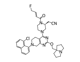 N#CC[C@H]1CN(c2nc(OCC34CCCN3CCC4)nc3c2CCN(c2cccc4cccc(Cl)c24)C3)CCN1C(=O)/C=C/CF